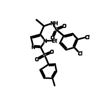 CCn1c(C(C)NS(=O)(=O)c2ccc(Cl)c(Cl)c2)cnc1S(=O)(=O)c1ccc(C)cc1